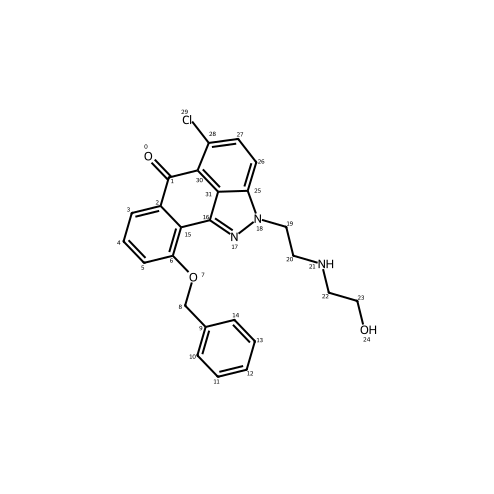 O=C1c2cccc(OCc3ccccc3)c2-c2nn(CCNCCO)c3ccc(Cl)c1c23